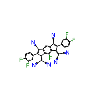 N#CC(C#N)=C1C(c2ccc(F)c(F)c2)=C(C#N)c2cc3c(c(F)c21)C(=C(C#N)C#N)C(c1ccc(F)c(F)c1)=C3C#N